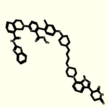 Cc1cc(OC2CCC(CCCCN3CCN(c4cccc5c(C6CCC(=O)NC6=O)nn(C)c45)CC3)CC2)ccc1-c1ccc(N2CCc3cccc(C(=O)Nc4nc5ccccc5s4)c3C2)nc1C(=O)OC(C)(C)C